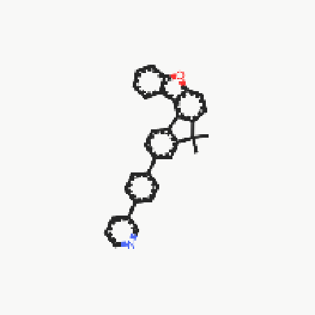 CC1(C)c2cc(-c3ccc(-c4cccnc4)cc3)ccc2-c2c1ccc1oc3ccccc3c21